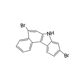 Brc1ccc2c(c1)[nH]c1cc(Br)c3ccccc3c12